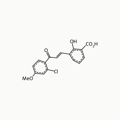 COc1ccc(C(=O)C=Cc2cccc(C(=O)O)c2O)c(Cl)c1